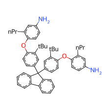 CCCc1cc(N)ccc1Oc1ccc(C2(c3ccc(Oc4ccc(N)cc4CCC)c(C(C)(C)C)c3)c3ccccc3-c3ccccc32)cc1C(C)(C)C